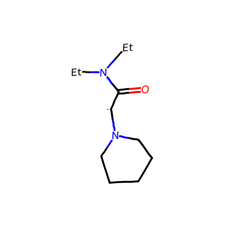 CCN(CC)C(=O)[CH]N1CCCCC1